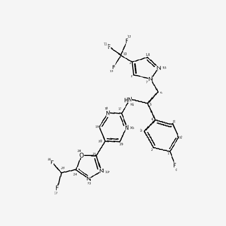 Fc1ccc(C(Cn2cc(C(F)(F)F)cn2)Nc2ncc(-c3nnc(C(F)F)o3)cn2)cc1